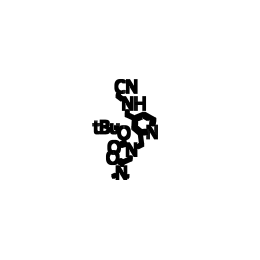 CN(C)C(=O)CN(Cc1cc(CNCC#N)ccn1)C(=O)OC(C)(C)C